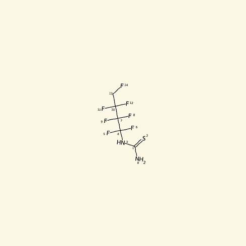 NC(=S)NC(F)(F)C(F)(F)C(F)(F)CF